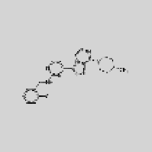 CC1CCN(c2nccn3c(-c4ccnc(NCc5ccccc5Cl)n4)cnc23)CC1